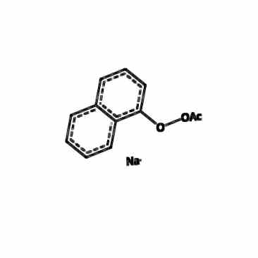 CC(=O)OOc1cccc2ccccc12.[Na]